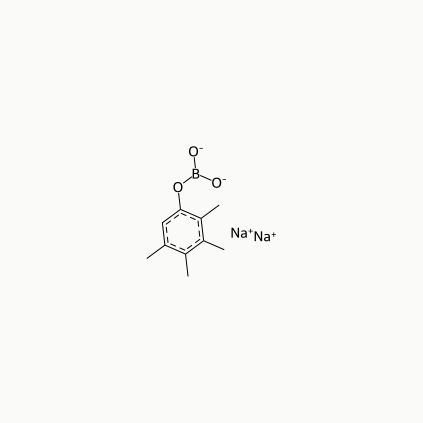 Cc1cc(OB([O-])[O-])c(C)c(C)c1C.[Na+].[Na+]